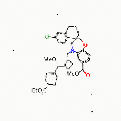 CCOC(=O)[C@@H]1CC=C([C@H](OC)[C@@H]2CC[C@H]2CN2C[C@@]3(CCCc4cc(Cl)ccc43)COc3ccc(C(=O)OC)cc32)CC1